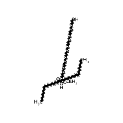 CCCCCCCC/C=C\CCCCCCCC(=O)C(O)C(OCCOCCOCCOCCOCCOCCOCCOCCOCCOCCOCCO)C(=O)CC(CCCCC/C=C\CCCCCCCC)OC